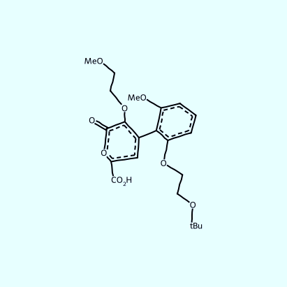 COCCOc1c(-c2c(OC)cccc2OCCOC(C)(C)C)cc(C(=O)O)oc1=O